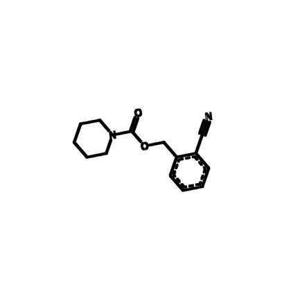 N#Cc1ccccc1COC(=O)N1CCCCC1